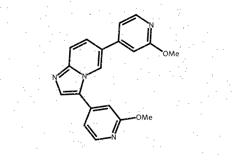 COc1cc(-c2ccc3ncc(-c4ccnc(OC)c4)n3c2)ccn1